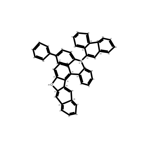 c1ccc(-c2ccc(N(c3ccccc3-c3cccc4oc5cc6ccccc6cc5c34)c3cc4ccccc4c4ccccc34)cc2)cc1